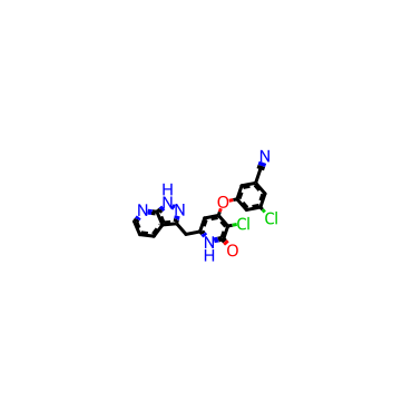 N#Cc1cc(Cl)cc(Oc2cc(Cc3n[nH]c4ncccc34)[nH]c(=O)c2Cl)c1